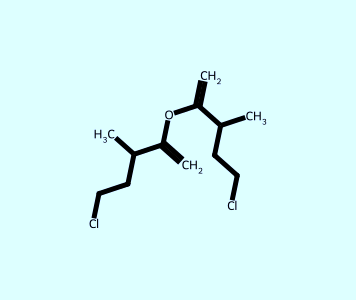 C=C(OC(=C)C(C)CCCl)C(C)CCCl